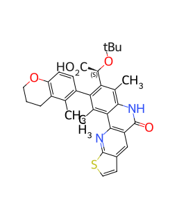 Cc1c(-c2c([C@H](OC(C)(C)C)C(=O)O)c(C)c3[nH]c(=O)c4cc5ccsc5nc4c3c2C)ccc2c1CCCO2